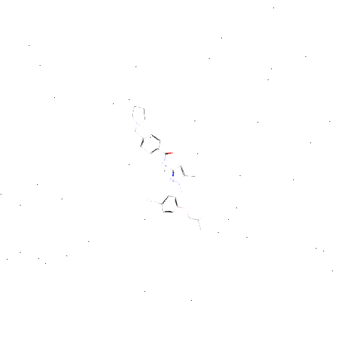 Cc1cc(NC(=O)c2ccc(CN3CCCC3)cc2)nn1Cc1cc(Br)ccc1OCC(C)C